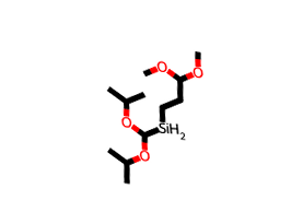 COC(CC[SiH2]C(OC(C)C)OC(C)C)OC